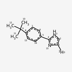 [2H]c1c[nH]c(-c2ccc(C(C)(C)C)cc2)n1